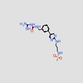 CS(=O)(=O)NCCCNc1ncc(-c2cccc(CNC(=O)NC(=N)N)c2)cn1